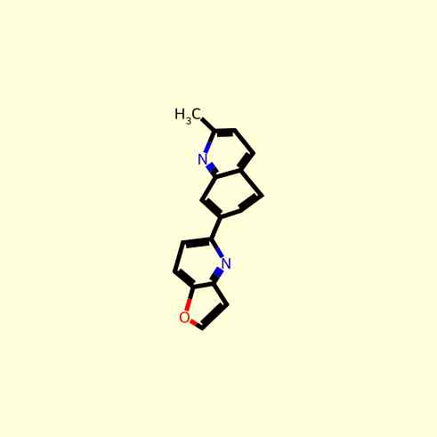 Cc1ccc2ccc(-c3ccc4occc4n3)cc2n1